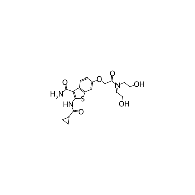 NC(=O)c1c(NC(=O)C2CC2)sc2cc(OCC(=O)N(CCO)CCO)ccc12